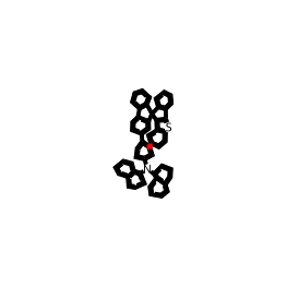 c1ccc2c(c1)-c1ccc(-c3ccc(N(c4cccc5ccccc45)c4cccc5ccccc45)cc3)cc1C21c2ccccc2-c2sc3ccccc3c21